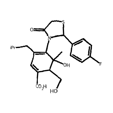 CC(C)CC1=C(N2C(=O)CSC2c2ccc(F)cc2)C(C)(O)C(CO)C(C(=O)O)=C1